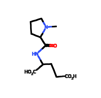 CN1CCCC1C(=O)NC(CCC(=O)O)C(=O)O